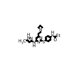 CCC(=O)Nc1ccc(Sc2nc(CCN3CCC3)cc(Nc3cc(C)[nH]n3)n2)cc1